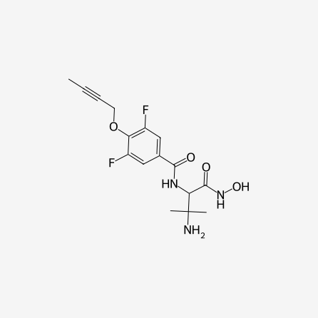 CC#CCOc1c(F)cc(C(=O)NC(C(=O)NO)C(C)(C)N)cc1F